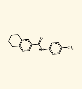 Cc1ccc(NC(=O)c2ccc3c(c2)CCCC3)cc1